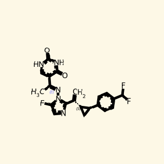 C=C(c1ncc(F)n1/N=C(\C)c1c[nH]c(=O)[nH]c1=O)[C@H]1CC1c1ccc(C(F)F)cc1